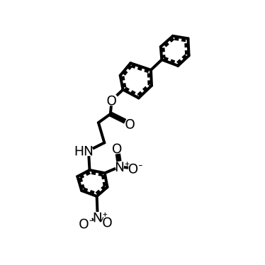 O=C(CCNc1ccc([N+](=O)[O-])cc1[N+](=O)[O-])Oc1ccc(-c2ccccc2)cc1